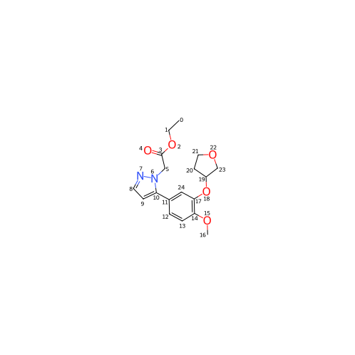 CCOC(=O)Cn1nccc1-c1ccc(OC)c(OC2CCOC2)c1